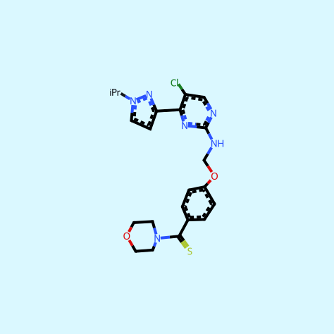 CC(C)n1ccc(-c2nc(NCOc3ccc(C(=S)N4CCOCC4)cc3)ncc2Cl)n1